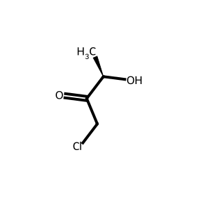 C[C@@H](O)C(=O)CCl